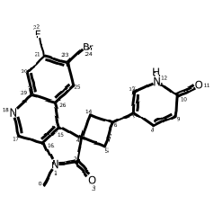 CN1C(=O)C2(CC(c3ccc(=O)[nH]c3)C2)c2c1cnc1cc(F)c(Br)cc21